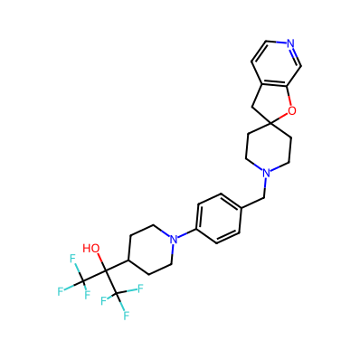 OC(C1CCN(c2ccc(CN3CCC4(CC3)Cc3ccncc3O4)cc2)CC1)(C(F)(F)F)C(F)(F)F